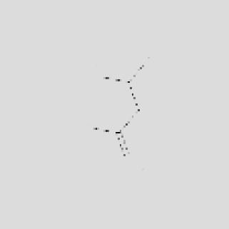 C=C(C)CC(C(C)=O)C(=O)OCC